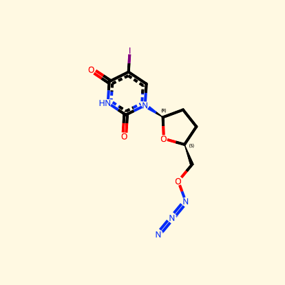 [N-]=[N+]=NOC[C@@H]1CC[C@H](n2cc(I)c(=O)[nH]c2=O)O1